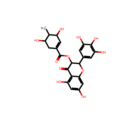 CC1C(O)C=C(C(=O)OC2C(=O)c3c(O)cc(O)cc3OC2c2cc(O)c(O)c(O)c2)CC1O